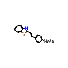 CNc1ccc(C=Cc2nc3ccccc3s2)cc1